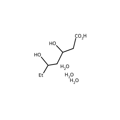 CCC(O)CC(O)CC(=O)O.O.O.O